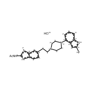 CC(=O)Nc1nc2ccc(CCN3CCN(c4cccc5sc(F)cc45)CC3)cc2s1.Cl